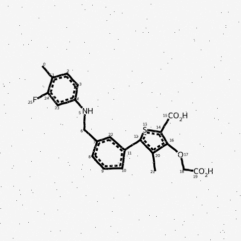 Cc1ccc(NCc2cccc(-c3sc(C(=O)O)c(OCC(=O)O)c3C)c2)cc1F